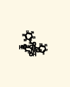 CCCCOCCCC.OCCO.c1ccc(COCc2ccccc2)cc1